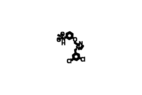 CS(=O)(=O)Nc1cccc(OCc2nccn2Cc2cc(Cl)cc(Cl)c2)c1